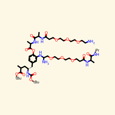 CC(C)NC(=O)C(C)NC(=O)CCOCCOCCOCC(N)Nc1cc(C[C@@H](CC(C)C(=O)OC(C)(C)C)NC(=O)OC(C)(C)C)ccc1OC(=O)C(C)NC(=O)C(C)NC(=O)CCOCCOCCOCCN